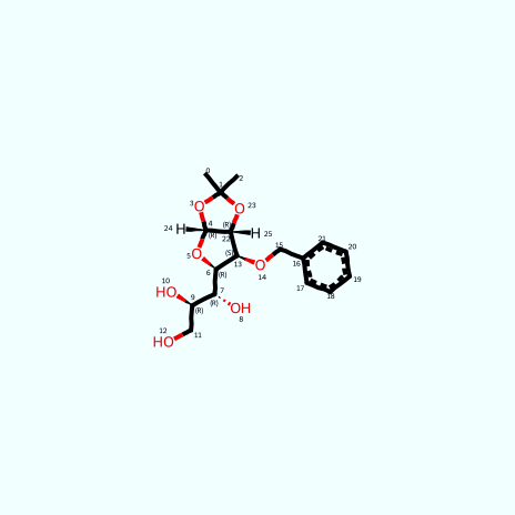 CC1(C)O[C@H]2O[C@H]([C@H](O)[C@H](O)CO)[C@H](OCc3ccccc3)[C@H]2O1